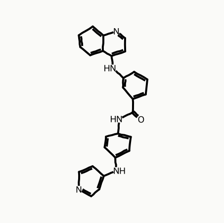 O=C(Nc1ccc(Nc2ccncc2)cc1)c1cccc(Nc2ccnc3ccccc23)c1